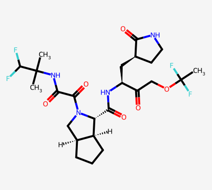 CC(F)(F)OCC(=O)[C@H](C[C@@H]1CCNC1=O)NC(=O)[C@@H]1[C@H]2CCC[C@H]2CN1C(=O)C(=O)NC(C)(C)C(F)F